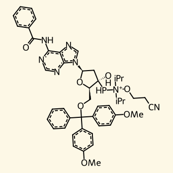 COc1ccc(C(OC[C@H]2O[C@@H](n3cnc4c(NC(=O)c5ccccc5)ncnc43)C[C@@]2(O)P[N+](OCCC#N)(C(C)C)C(C)C)(c2ccccc2)c2ccc(OC)cc2)cc1